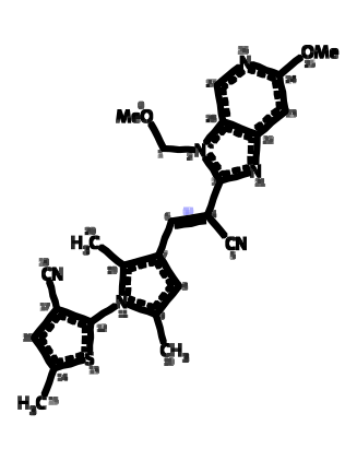 COCn1c(/C(C#N)=C/c2cc(C)n(-c3sc(C)cc3C#N)c2C)nc2cc(OC)ncc21